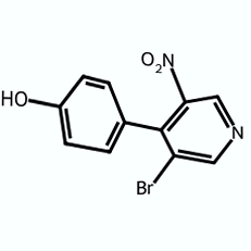 O=[N+]([O-])c1cncc(Br)c1-c1ccc(O)cc1